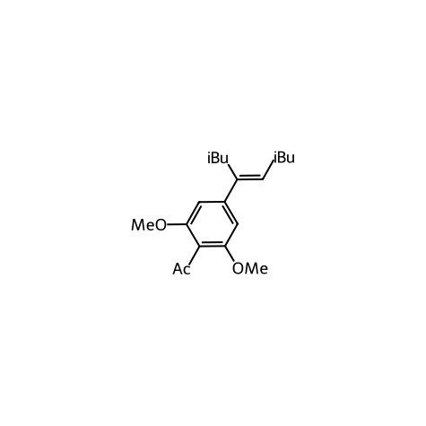 CCC(C)/C=C(/c1cc(OC)c(C(C)=O)c(OC)c1)C(C)CC